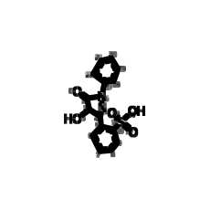 O=C1C(O)C(c2ccccc2S(=O)(=O)O)=NN1c1ccccc1